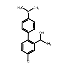 CN(C)c1ccc(-c2ccc(Cl)cc2C(N)O)cc1